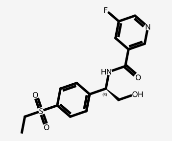 CCS(=O)(=O)c1ccc([C@H](CO)NC(=O)c2cncc(F)c2)cc1